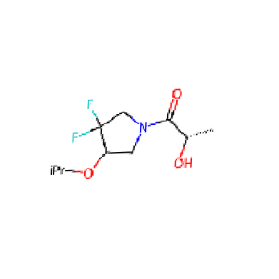 CC(C)OC1CN(C(=O)[C@H](C)O)CC1(F)F